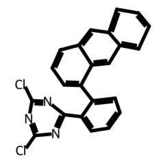 Clc1nc(Cl)nc(-c2ccccc2-c2cccc3cc4ccccc4cc23)n1